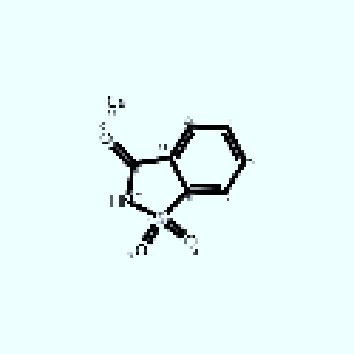 O=C1NS(=O)(=O)c2ccccc21.[Ce]